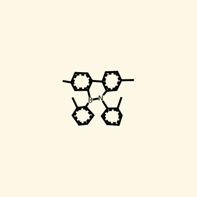 Cc1ccc2c(c1)B(c1ccccc1C)N(c1ccccc1C)c1cc(C)ccc1-2